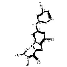 CN(C(=N)N)C(=O)c1cc2c(Cl)cc(Oc3cncc(N)c3)cc2[nH]1